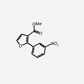 COC(=O)c1ccoc1-c1cccc([N+](=O)[O-])c1